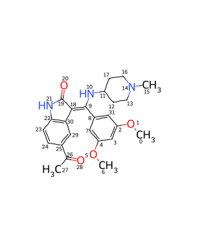 COc1cc(OC)cc(/C(NC2CCN(C)CC2)=C2/C(=O)Nc3ccc(C(C)=O)cc32)c1